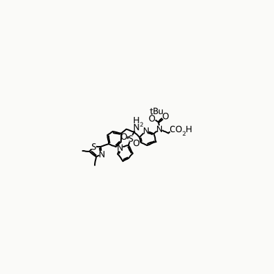 Cc1nc(-c2ccc(CC(N)(c3cccc(N(CC(=O)O)C(=O)OC(C)(C)C)n3)S(=O)(=O)c3ccccn3)cc2)sc1C